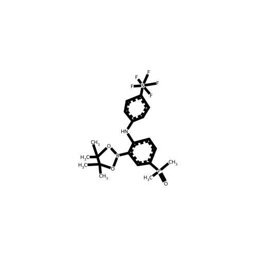 CC1(C)OB(c2cc(P(C)(C)=O)ccc2Nc2ccc(S(F)(F)(F)(F)F)cc2)OC1(C)C